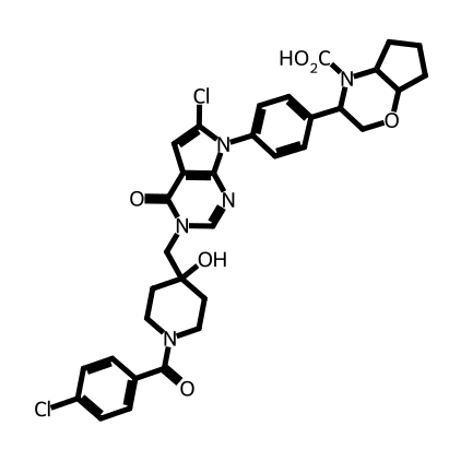 O=C(c1ccc(Cl)cc1)N1CCC(O)(Cn2cnc3c(cc(Cl)n3-c3ccc(C4COC5CCCC5N4C(=O)O)cc3)c2=O)CC1